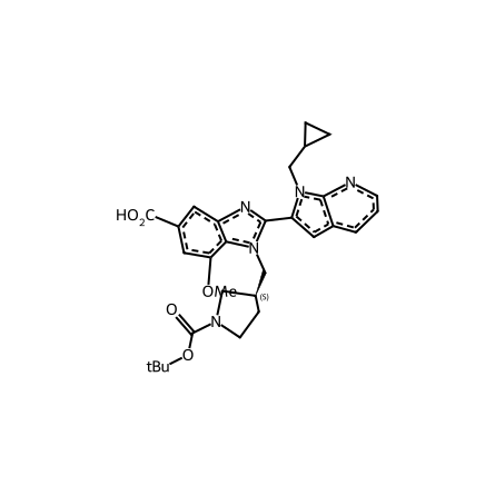 COc1cc(C(=O)O)cc2nc(-c3cc4cccnc4n3CC3CC3)n(C[C@H]3CCN(C(=O)OC(C)(C)C)C3)c12